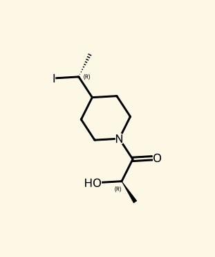 C[C@@H](O)C(=O)N1CCC([C@@H](C)I)CC1